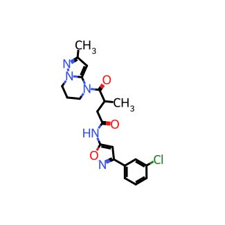 Cc1cc2n(n1)CCCN2C(=O)C(C)CC(=O)Nc1cc(-c2cccc(Cl)c2)no1